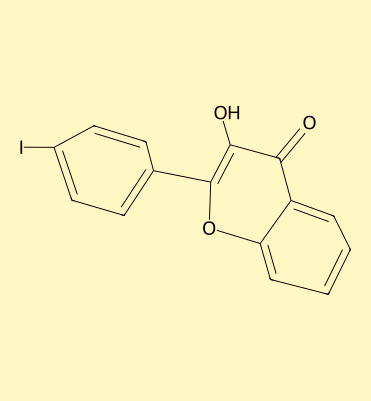 O=c1c(O)c(-c2ccc(I)cc2)oc2ccccc12